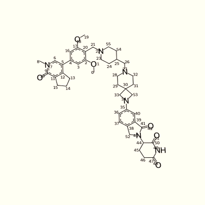 COc1cc(-c2cn(C)c(=O)c3c2CCC3)cc(OC)c1CN1CCC(CN2CCC3(CC2)CN(c2ccc4c(c2)C(=O)N(C2CCC(=O)NC2=O)C4)C3)CC1